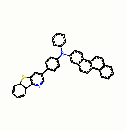 C1=CC2Sc3cc(-c4ccc(N(c5ccccc5)c5ccc6c(ccc7c8ccccc8ccc67)c5)cc4)cnc3C2C=C1